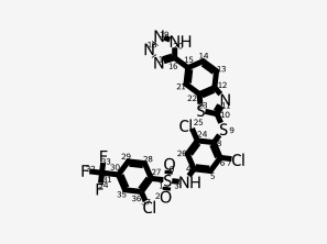 O=S(=O)(Nc1cc(Cl)c(Sc2nc3ccc(-c4nnn[nH]4)cc3s2)c(Cl)c1)c1ccc(C(F)(F)F)cc1Cl